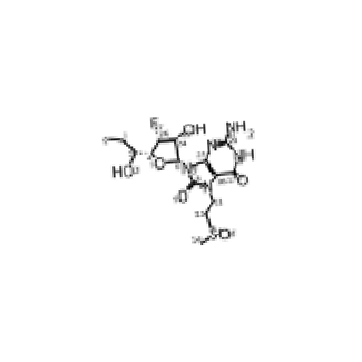 CCC(O)[C@H]1O[C@@H](n2c(=O)n(CC[S+](C)[O-])c3c(=O)[nH]c(N)nc32)[C@H](O)[C@H]1F